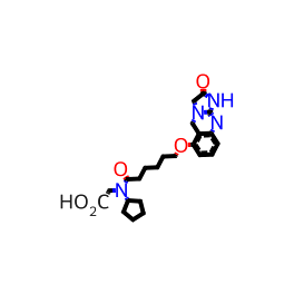 O=C(O)CN(C(=O)CCCCCOc1cccc2c1CN1CC(=O)NC1=N2)C1CCCC1